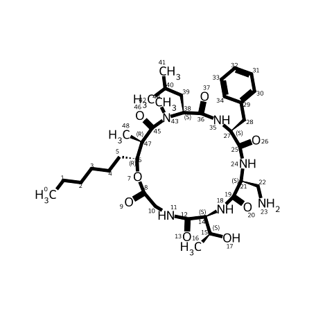 CCCCCC[C@H]1OC(=O)CNC(=O)[C@H]([C@H](C)O)NC(=O)[C@H](CN)NC(=O)[C@H](Cc2ccccc2)NC(=O)[C@H](CC(C)C)N(C)C(=O)[C@@H]1C